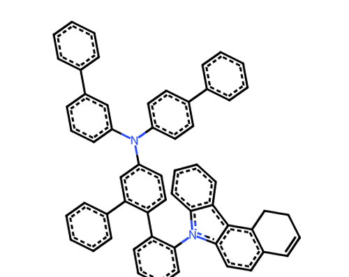 C1=Cc2ccc3c(c2CC1)c1ccccc1n3-c1ccccc1-c1ccc(N(c2ccc(-c3ccccc3)cc2)c2cccc(-c3ccccc3)c2)cc1-c1ccccc1